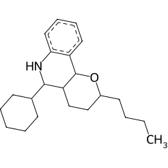 CCCCC1CCC2C(O1)c1ccccc1NC2C1CCCCC1